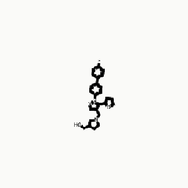 OCC1CCN(Cc2cnn(-c3ccc(-c4ccc(F)cc4)cc3)c2-c2ccco2)C1